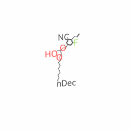 C=CCc1c(F)cc(COC(CO)COCCCCCCCCCCCCCCCCCC)cc1C#N